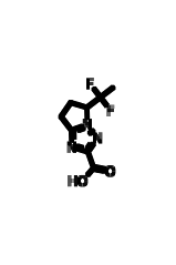 CC(F)(F)C1CCc2nc(C(=O)O)nn21